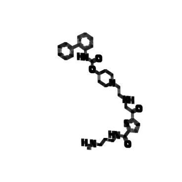 NCCCNC(=O)c1ccc(C(=O)CNCCN2CCC(OC(=O)Nc3ccccc3-c3ccccc3)CC2)s1